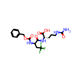 NC(=O)NCCC[C@H](NC(=O)C(CC(F)(F)F)NC(=O)OCc1ccccc1)C(=O)O